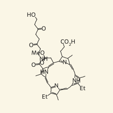 CCC1=C(C)c2cc3[nH]c(cc4nc(c(CC(=O)OC)c5[nH]c(cc1n2)c(C)c5C(=O)NCCC(=O)CCC(=O)CCO)C(CCC(=O)O)C4C)c(C)c3CC